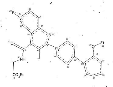 CCOC(=O)CNC(=O)c1c(C)c(-c2ccc(-c3ccccc3OCC)cc2)nc2ccc(F)cc12